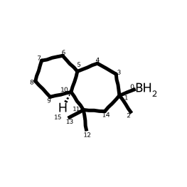 BC1(C)CCC2CCCC[C@@H]2C(C)(C)C1